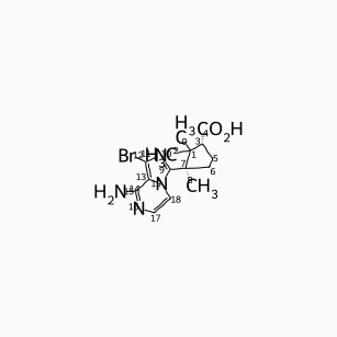 CC1(C)[C@H](C(=O)O)CC[C@@]1(C)c1nc(Br)c2c(N)nccn12